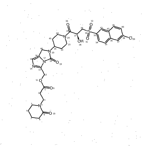 O=C(CCN1CCCCC1=O)OCc1ncc2n1C(=O)N(C1CCN(C(=O)[C@H](O)CS(=O)(=O)c3ccc4cc(Cl)ccc4c3)CC1)C2